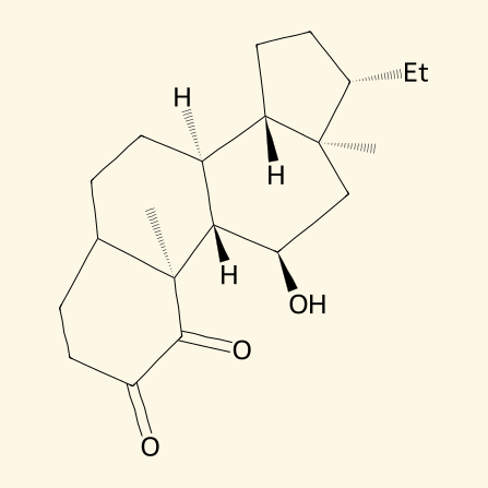 CC[C@H]1CC[C@H]2[C@@H]3CCC4CCC(=O)C(=O)[C@]4(C)[C@H]3[C@H](O)C[C@]12C